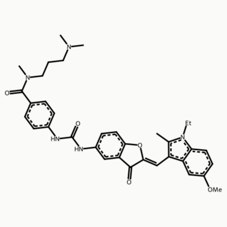 CCn1c(C)c(C=C2Oc3ccc(NC(=O)Nc4ccc(C(=O)N(C)CCCN(C)C)cc4)cc3C2=O)c2cc(OC)ccc21